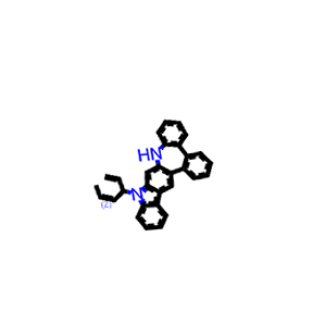 C=CC(/C=C\C)n1c2ccccc2c2cc3c(cc21)Nc1ccccc1-c1ccccc1-3